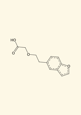 O=C(O)COCCc1ccc2occc2c1